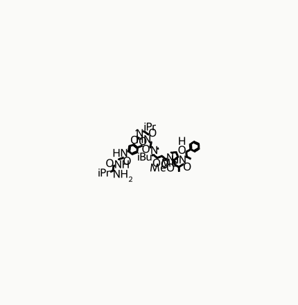 CCC(C)C(C(CC(=O)N1CCCC1C(OC)C(C)C(=O)NC(C)C(O)c1ccccc1)OC)N(C)C(=O)CNC(=O)C(C(C)C)N(C)C(=O)OCc1ccc(NC(=O)CNC(=O)C(N)C(C)C)cc1